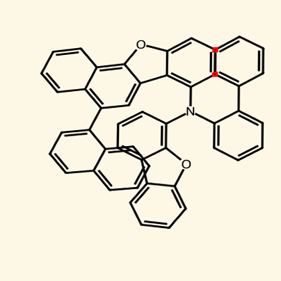 c1ccc(-c2ccccc2N(c2cccc3c2oc2ccccc23)c2cccc3oc4c5ccccc5c(-c5cccc6ccccc56)cc4c23)cc1